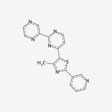 Cc1nc(-c2cccnc2)sc1-c1ccnc(-c2cnccn2)n1